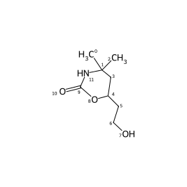 CC1(C)CC(CCO)OC(=O)N1